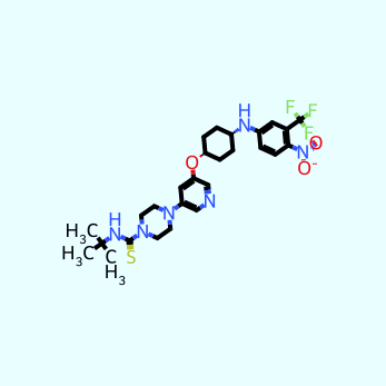 CC(C)(C)NC(=S)N1CCN(c2cncc(O[C@H]3CC[C@H](Nc4ccc([N+](=O)[O-])c(C(F)(F)F)c4)CC3)c2)CC1